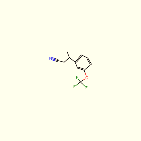 CC(CC#N)c1cccc(OC(F)(F)F)c1